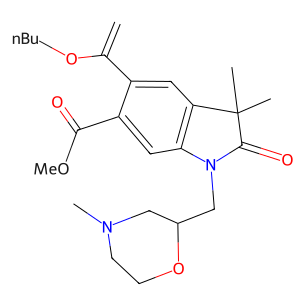 C=C(OCCCC)c1cc2c(cc1C(=O)OC)N(CC1CN(C)CCO1)C(=O)C2(C)C